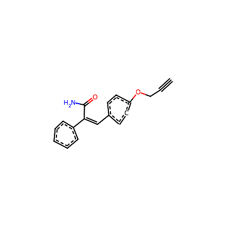 C#CCOc1ccc(C=C(C(N)=O)c2ccccc2)cc1